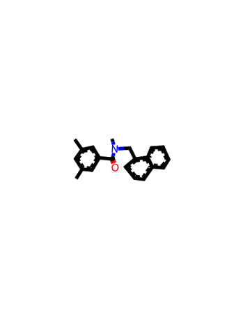 Cc1cc(C)cc(C(=O)N(C)Cc2cccc3ccccc23)c1